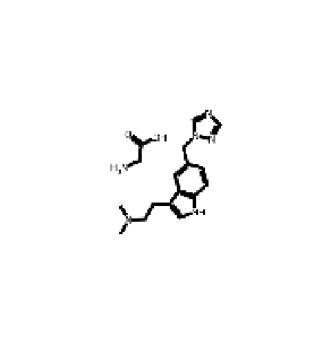 CN(C)CCc1c[nH]c2ccc(Cn3cncn3)cc12.NCC(=O)O